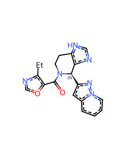 CCc1ncoc1C(=O)N1CCc2[nH]cnc2[C@H]1c1cc2ccccn2n1